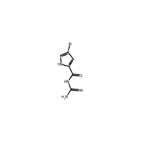 N=C(N)NC(=O)c1cc(Br)c[nH]1